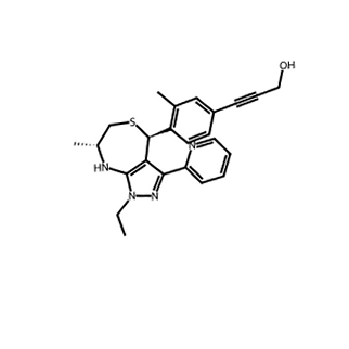 CCn1nc(-c2ccccn2)c2c1N[C@H](C)CS[C@H]2c1ccc(C#CCO)cc1C